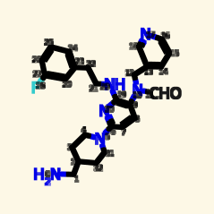 NCC1CCN(c2ccc(N(C=O)Cc3cccnc3)c(NCCc3cccc(F)c3)n2)CC1